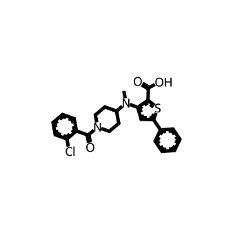 CN(c1cc(-c2ccccc2)sc1C(=O)O)C1CCN(C(=O)c2ccccc2Cl)CC1